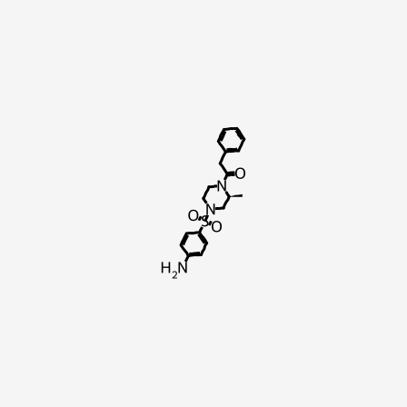 C[C@H]1CN(S(=O)(=O)c2ccc(N)cc2)CCN1C(=O)Cc1ccccc1